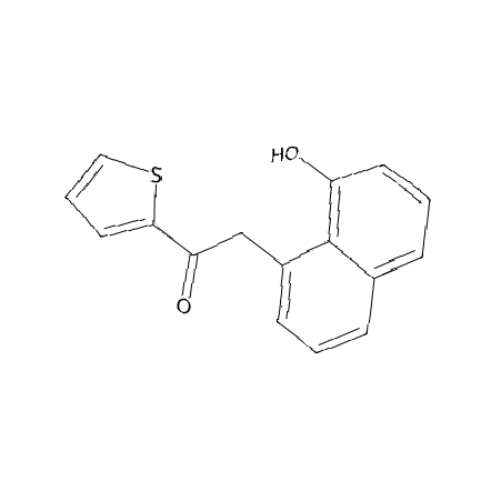 O=C(Cc1cccc2cccc(O)c12)c1cccs1